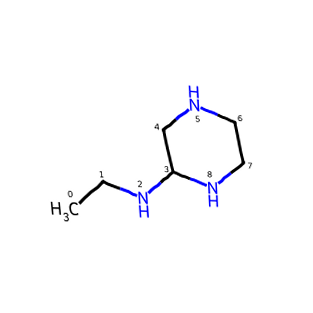 CCNC1CNCCN1